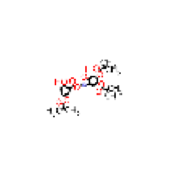 C=C(C)C(=O)Oc1ccc(O)c(C(=O)O/C=C/c2cc(OC(=O)C(=C)C)c(OC(=O)C(=C)C)cc2O)c1